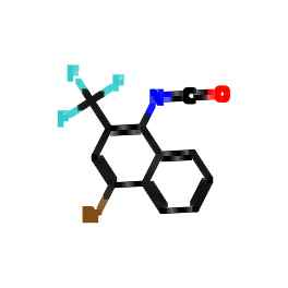 O=C=Nc1c(C(F)(F)F)cc(Br)c2ccccc12